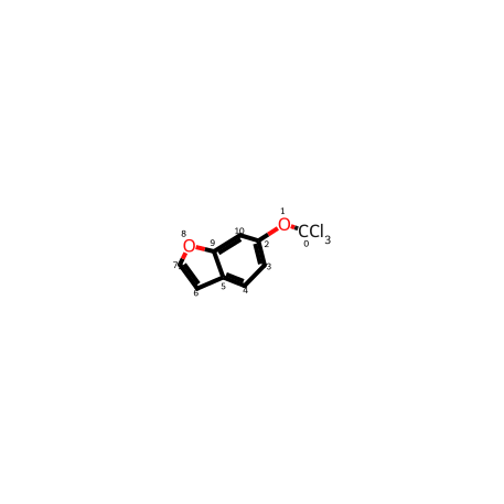 ClC(Cl)(Cl)Oc1ccc2c[c]oc2c1